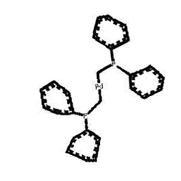 c1ccc(P([CH2][Pd][CH2]P(c2ccccc2)c2ccccc2)c2ccccc2)cc1